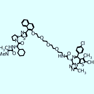 CN[C@@H](C)C(=O)N[C@H](C(=O)N1CCC[C@H]1c1nc(-c2c(OCCOCCOCCOCCNC(=O)C[C@@H]3N=C(c4ccc(Cl)cc4)c4c(sc(C)c4C)-n4c(C)nnc43)ccc3ccccc23)cs1)C1CCCCC1